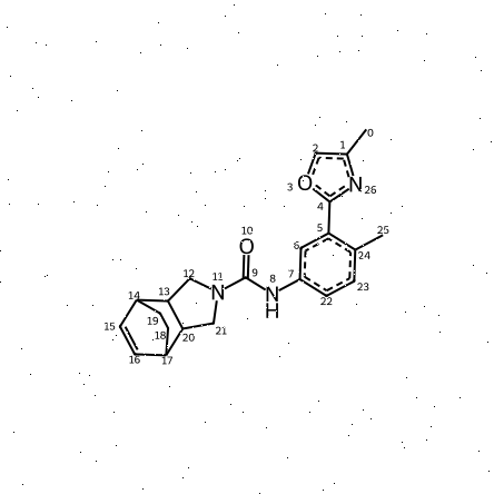 Cc1coc(-c2cc(NC(=O)N3CC4C5C=CC(CC5)C4C3)ccc2C)n1